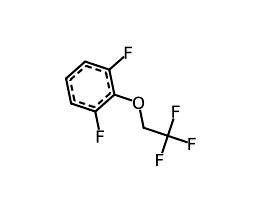 Fc1cccc(F)c1OCC(F)(F)F